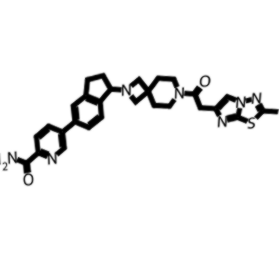 Cc1nn2cc(CC(=O)N3CCC4(CC3)CN(C3CCc5cc(-c6ccc(C(N)=O)nc6)ccc53)C4)nc2s1